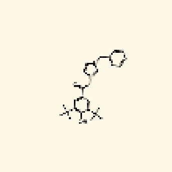 CC(C)(C)c1cc(C(=O)C[n+]2ccn(Cc3ccccc3)c2)cc(C(C)(C)C)c1O